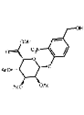 COC(=O)[C@H]1O[C@@H](Oc2ccc(CO)cc2[N+](=O)[O-])[C@@H](OC(C)=O)[C@@H](OC(C)=O)[C@@H]1OC(C)=O